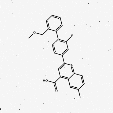 COCc1ccccc1-c1ccc(-c2cc(C(=O)O)c3cc(C)ccc3n2)cc1F